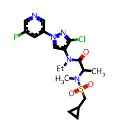 CCN(C(=O)C(C)N(C)S(=O)(=O)CC1CC1)c1cn(-c2cncc(F)c2)nc1Cl